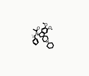 COc1cc2c(cc1OC)C1(CCN(C3CCCCC3)CC1)C[C@@H]2N(C(C)=O)[C@@H](C)c1ccccc1